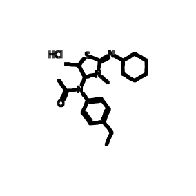 CCc1ccc(N(C(C)=O)C2C(C)SC(=NC3CCCCC3)N2C)cc1.Cl